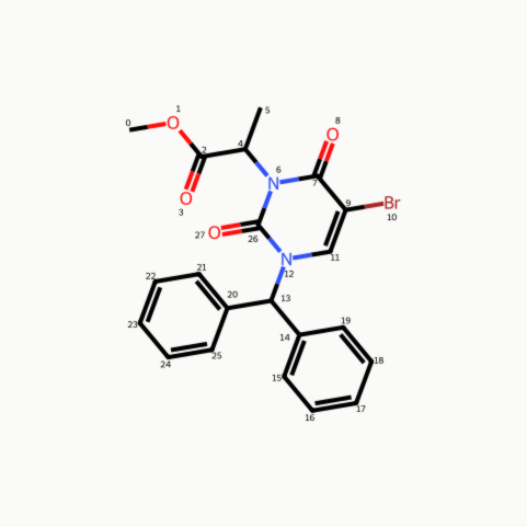 COC(=O)C(C)n1c(=O)c(Br)cn(C(c2ccccc2)c2ccccc2)c1=O